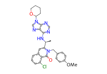 COc1ccc(Cn2c([C@H](C)Nc3ncnc4c3ncn4C3CCCCO3)cc3cccc(Cl)c3c2=O)cc1